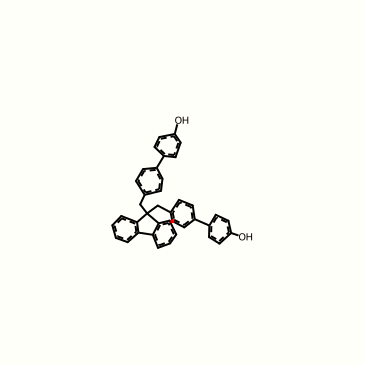 Oc1ccc(-c2ccc(CC3(Cc4ccc(-c5ccc(O)cc5)cc4)c4ccccc4-c4ccccc43)cc2)cc1